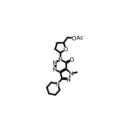 CC(=O)OCC1[CH][CH]C(n2nnc3c(N4CCCCC4)nn(C)c3c2=O)O1